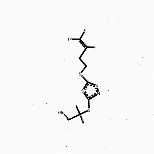 CC(C)(C)CC(C)(C)Sc1nnc(SCCC(F)=C(F)F)s1